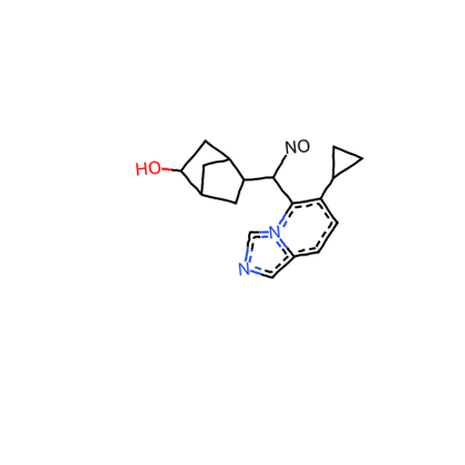 O=NC(c1c(C2CC2)ccc2cncn12)C1CC2CC1CC2O